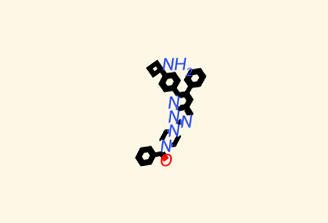 NC1(c2ccc(-c3nc4nc(N5CCN(C(=O)c6ccccc6)CC5)ncc4cc3-c3ccccc3)cc2)CCC1